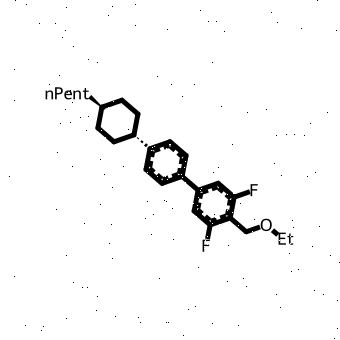 CCCCC[C@H]1CC[C@H](c2ccc(-c3cc(F)c(COCC)c(F)c3)cc2)CC1